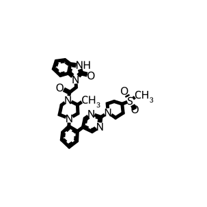 CC1CN(c2ccccc2-c2cnc(N3CCC(S(C)(=O)=O)CC3)nc2)CCN1C(=O)Cn1c(=O)[nH]c2ccccc21